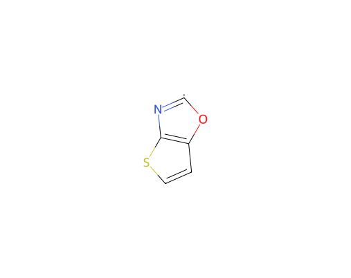 [c]1nc2sccc2o1